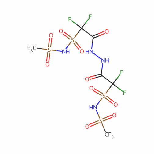 O=C(NNC(=O)C(F)(F)S(=O)(=O)NS(=O)(=O)C(F)(F)F)C(F)(F)S(=O)(=O)NS(=O)(=O)C(F)(F)F